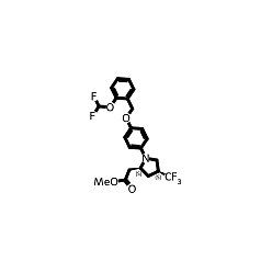 COC(=O)C[C@@H]1C[C@H](C(F)(F)F)CN1c1ccc(OCc2ccccc2OC(F)F)cc1